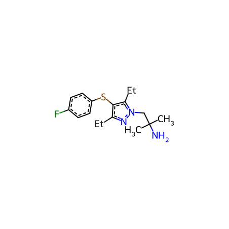 CCc1nn(CC(C)(C)N)c(CC)c1Sc1ccc(F)cc1